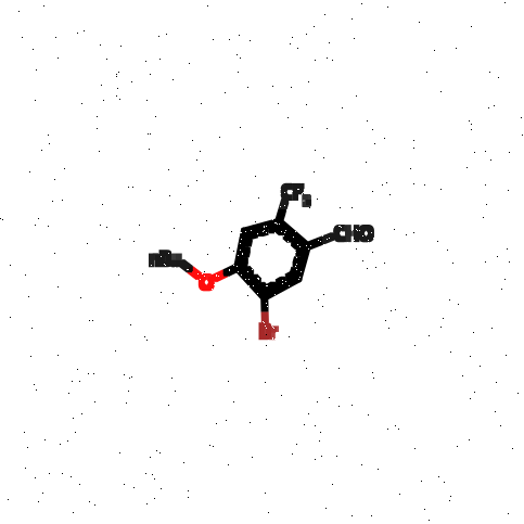 CCCCOc1cc(C(F)(F)F)c(C=O)cc1Br